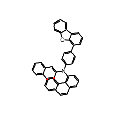 c1ccc2cc(N(c3ccc(-c4cccc5c4oc4ccccc45)cc3)c3cccc4ccc5ccccc5c34)ccc2c1